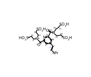 CC(C)/C=C/c1cc(C(=O)N(CCS(=O)(=O)O)CCS(=O)(=O)O)nc(C(=O)N(CCS(=O)(=O)O)CCS(=O)(=O)O)c1